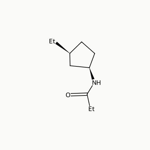 CCC(=O)N[C@@H]1CC[C@H](CC)C1